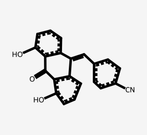 N#Cc1ccc(C=C2c3cccc(O)c3C(=O)c3c(O)cccc32)cc1